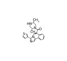 C[C@H]1CN(C(=O)c2cn3c(-c4ccsc4)ncc3c3ccccc23)[C@@H](C)CN1